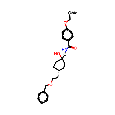 COCOc1ccc(C(=O)NC[C@]2(O)CC[C@H](CCOCc3ccccc3)CC2)cc1